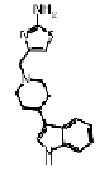 Nc1nc(CN2CCC(c3c[nH]c4ccccc34)CC2)cs1